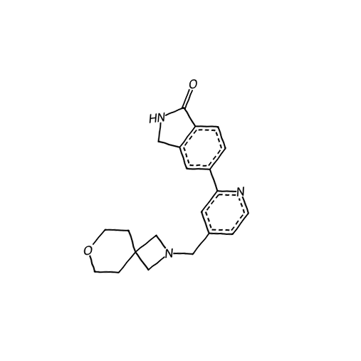 O=C1NCc2cc(-c3cc(CN4CC5(CCOCC5)C4)ccn3)ccc21